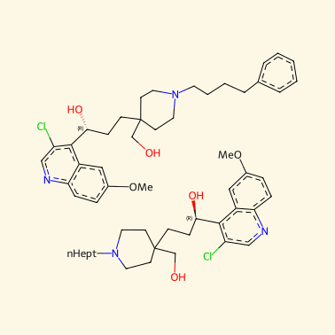 CCCCCCCN1CCC(CO)(CC[C@@H](O)c2c(Cl)cnc3ccc(OC)cc23)CC1.COc1ccc2ncc(Cl)c([C@H](O)CCC3(CO)CCN(CCCCc4ccccc4)CC3)c2c1